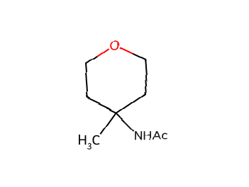 CC(=O)NC1(C)CCOCC1